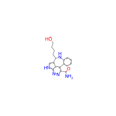 NC(=O)c1nnc2[nH]cc3c2c1-c1ccccc1NC3CCCCO